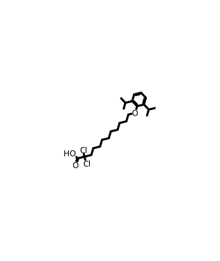 CC(C)c1cccc(C(C)C)c1OCCCCCCCCCCC(Cl)(Cl)C(=O)O